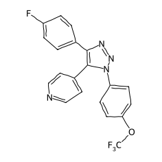 Fc1ccc(-c2nnn(-c3ccc(OC(F)(F)F)cc3)c2-c2ccncc2)cc1